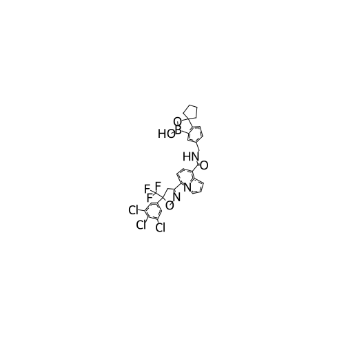 O=C(NCc1ccc2c(c1)B(O)OC21CCCC1)c1ccc(C2=NOC(c3cc(Cl)c(Cl)c(Cl)c3)(C(F)(F)F)C2)n2cccc12